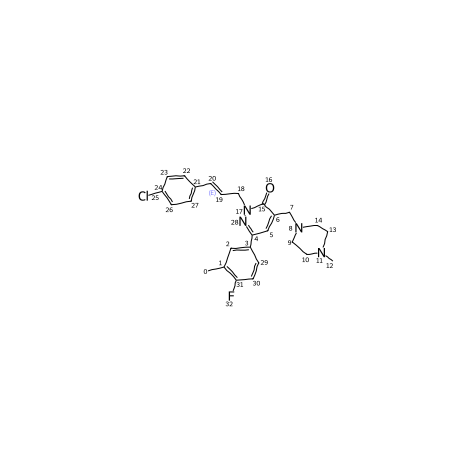 Cc1cc(-c2cc(CN3CCN(C)CC3)c(=O)n(C/C=C/c3ccc(Cl)cc3)n2)ccc1F